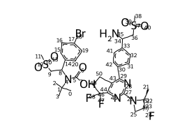 CC(C)(C)N(C(=O)O)C(CS(C)(=O)=O)c1ccc(Br)cc1.C[C@H]1[C@H](F)CN1c1nc(-c2ccc(C(N)CS(C)(=O)=O)cc2)c2c(n1)C(F)(F)CC2